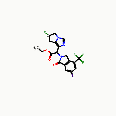 CCOC(=O)C(c1ncn2c1C[C@@H](F)C2)N1Cc2c(cc(I)cc2C(F)(F)F)C1=O